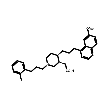 COc1ccc2nccc(CCC[C@@H]3CCN(CCCc4ccccc4F)C[C@@H]3CC(=O)O)c2c1